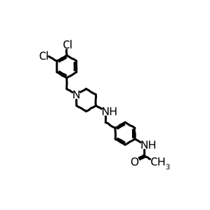 CC(=O)Nc1ccc(CNC2CCN(Cc3ccc(Cl)c(Cl)c3)CC2)cc1